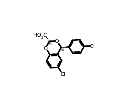 O=C(O)[C@H]1Oc2ccc(Cl)cc2[C@H](c2ccc(Cl)cc2)O1